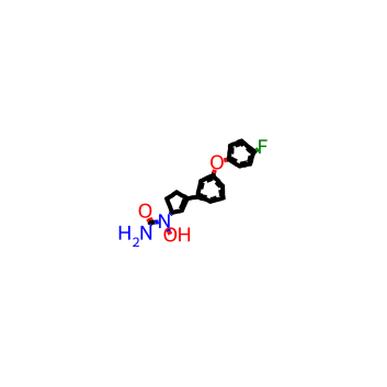 NC(=O)N(O)C1C=C(c2cccc(Oc3ccc(F)cc3)c2)CC1